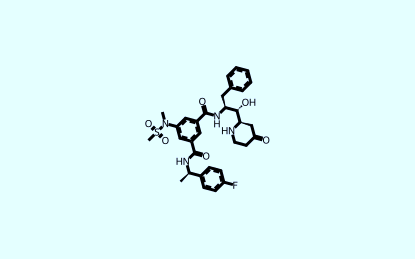 C[C@@H](NC(=O)c1cc(C(=O)N[C@@H](Cc2ccccc2)[C@H](O)[C@H]2CC(=O)CCN2)cc(N(C)S(C)(=O)=O)c1)c1ccc(F)cc1